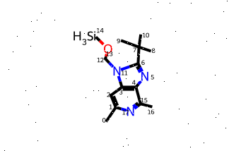 Cc1cc2c(nc(C(C)(C)C)n2CO[SiH3])c(C)n1